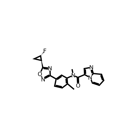 Cc1ccc(-c2noc([C@H]3C[C@@H]3F)n2)cc1N(C)C(=O)c1cnc2ccccn12